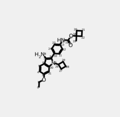 CCOc1ccc2c(N)c(-c3ccc(NC(=O)OC4(C)CCC4)cc3)n(C3CCC3)c2c1